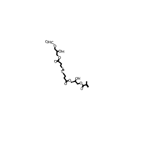 C=C(C)C(=O)OCC(O)COC(=O)CCSSCCC(=O)OCC(O)COC=O